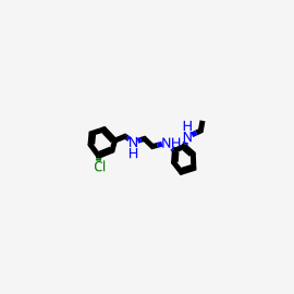 CCNc1ccccc1NCCNCc1cccc(Cl)c1